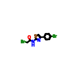 O=C(CBr)Nc1nc(-c2ccc(Br)cc2)cs1